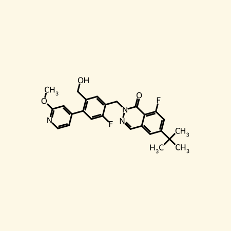 COc1cc(-c2cc(F)c(Cn3ncc4cc(C(C)(C)C)cc(F)c4c3=O)cc2CO)ccn1